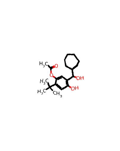 CC(=O)Oc1cc(C(O)C2CCCCCC2)c(O)cc1C(C)(C)C